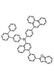 c1ccc(-c2ccccc2-c2ccc(N(c3ccc(-c4cc5ccccc5c5ccccc45)cc3)c3ccc(-c4cccc(-c5cc6ccccc6o5)c4)c4ccccc34)cc2)cc1